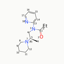 CCC(=O)N(C[C@@H](C)N1CCCCC1)c1ccccn1